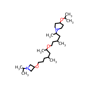 CC(CCCOC1CN(C(C)C)C1)CC(C)OCCC(C)CC(C)N1CCC(OC(C)C)CC1